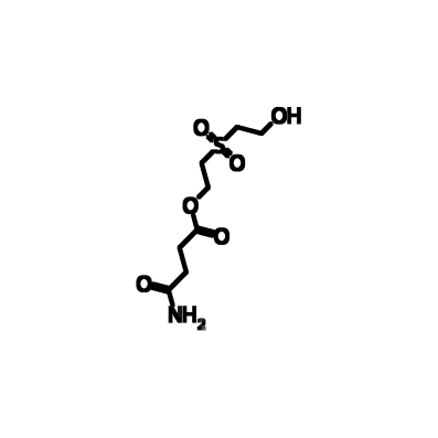 NC(=O)CCC(=O)OCCS(=O)(=O)CCO